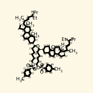 CC[C@H](C=C[C@@H](C)[C@H]1CCC2C3CC=C4C[C@@H](C(CCCCCOS(=O)(=O)c5ccc(C)cc5)OC(CCCCCOS(=O)(=O)c5ccc(C)cc5)[C@H]5CC[C@@]6(C)C(=CCC7C6CC[C@@]6(C)C7CC[C@@H]6[C@H](C)C=C[C@@H](CC)C(C)C)C5)CC[C@]4(C)C3CC[C@@]21C)C(C)C